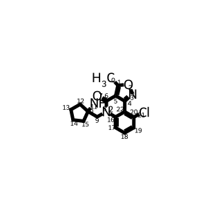 Cc1onc2c1c(=O)n(CC1(N)CCCC1)c1cccc(Cl)c21